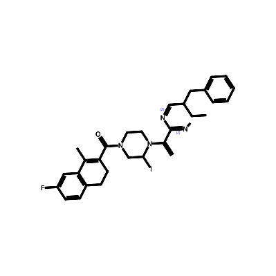 C=C(C(/N=C\C(CC)Cc1ccccc1)=N/C)N1CCN(C(=O)C2=C(C)c3cc(F)ccc3CC2)CC1I